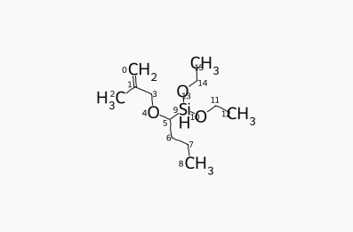 C=C(C)COC(CCC)[SiH](OCC)OCC